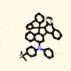 C[Si](C)(C)c1ccc(N(c2ccccc2)c2cc3c(c4ccccc24)C2(c4ccccc4-c4ccccc42)c2c-3c3ccccc3c3ccccc23)cc1